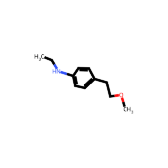 CCNc1ccc(CCOC)cc1